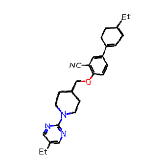 CCc1cnc(N2CCC(COc3ccc(C4=CCC(CC)CC4)cc3C#N)CC2)nc1